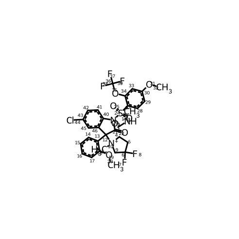 CNC(=O)[C@@H]1CC(F)(F)C[N+]1(C)C1(c2ccccc2OC)C(=O)N(S(=O)(=O)c2ccc(OC)cc2OC(F)(F)F)c2ccc(Cl)cc21